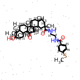 CSc1ccc(C(=O)NCCNC(=O)[C@@]2(C)CC[C@]3(C)CC[C@]4(C)C(=CC(=O)[C@@H]5[C@@]6(C)CC[C@H](O)C(C)(C)C6CC[C@]54C)[C@H]3C2)cc1